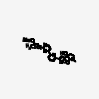 COC(CNc1nccc(-c2cccc(-c3cc(C4(O)CCN(C)C4=O)on3)n2)n1)C(F)(F)F